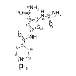 CN1CCC(C(=O)Nc2cc(C(N)=O)c(NC(N)=O)s2)CC1